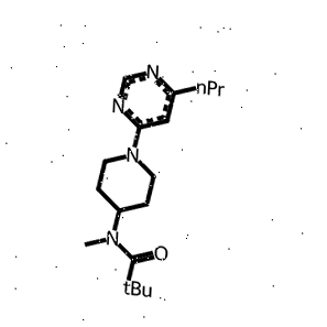 CCCc1cc(N2CCC(N(C)C(=O)C(C)(C)C)CC2)ncn1